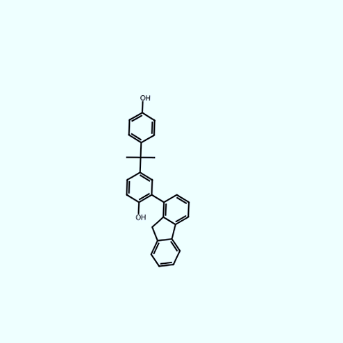 CC(C)(c1ccc(O)cc1)c1ccc(O)c(-c2cccc3c2Cc2ccccc2-3)c1